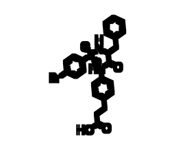 O=C(O)CCc1ccc(NC(=O)C(Cc2ccccc2)NS(=O)(=O)c2ccc(Br)cc2)cc1